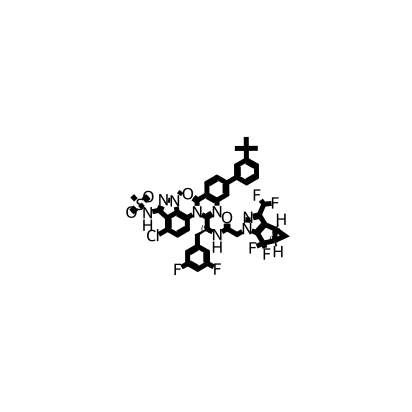 Cn1nc(NS(C)(=O)=O)c2c(Cl)ccc(-n3c([C@H](Cc4cc(F)cc(F)c4)NC(=O)Cn4nc(C(F)F)c5c4C(F)(F)[C@@H]4C[C@H]54)nc4cc(-c5cccc(C(C)(C)C)c5)ccc4c3=O)c21